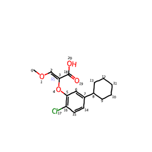 CO/C=C(\Oc1cc(C2CCCCC2)ccc1Cl)C(=O)O